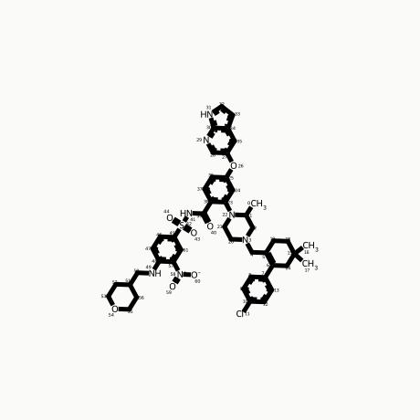 CC1CN(CC2=C(c3ccc(Cl)cc3)CC(C)(C)CC2)CCN1c1cc(Oc2cnc3[nH]ccc3c2)ccc1C(=O)NS(=O)(=O)c1ccc(NCC2CCOCC2)c([N+](=O)[O-])c1